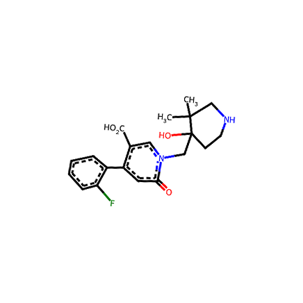 CC1(C)CNCCC1(O)Cn1cc(C(=O)O)c(-c2ccccc2F)cc1=O